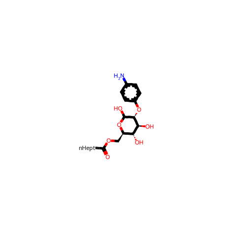 CCCCCCCC(=O)OC[C@H]1OC(O)[C@H](Oc2ccc(N)cc2)[C@@H](O)[C@@H]1O